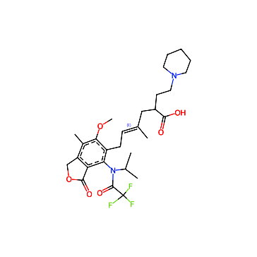 COc1c(C)c2c(c(N(C(=O)C(F)(F)F)C(C)C)c1C/C=C(\C)CC(CCN1CCCCC1)C(=O)O)C(=O)OC2